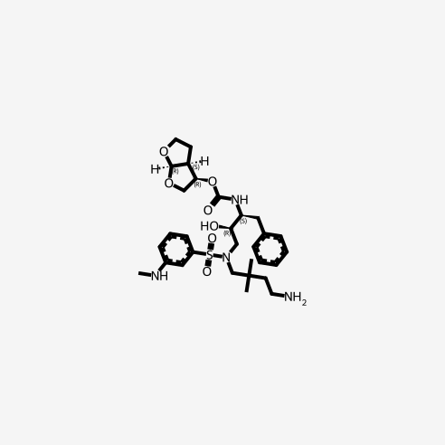 CNc1cccc(S(=O)(=O)N(C[C@@H](O)[C@H](Cc2ccccc2)NC(=O)O[C@H]2CO[C@H]3OCC[C@H]32)CC(C)(C)CCN)c1